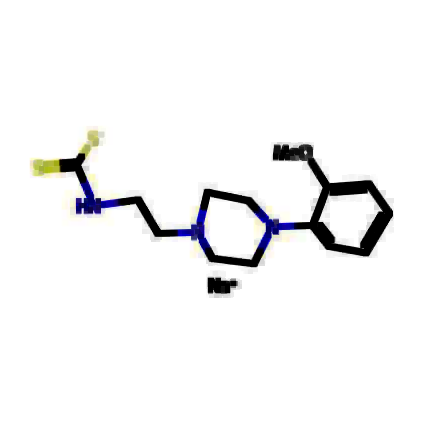 COc1ccccc1N1CCN(CCNC(=S)[S-])CC1.[Na+]